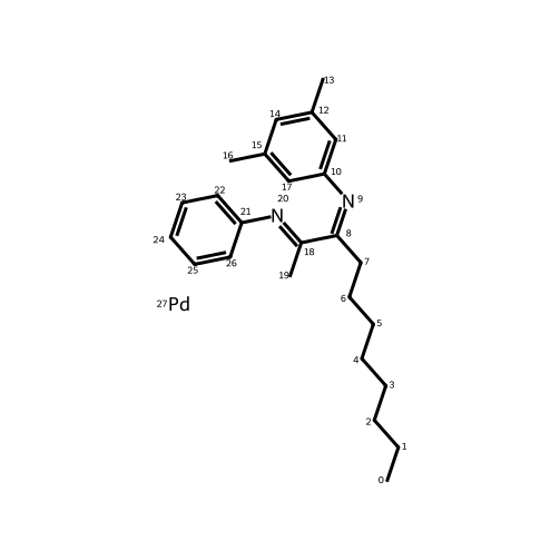 CCCCCCCCC(=Nc1cc(C)cc(C)c1)C(C)=Nc1ccccc1.[Pd]